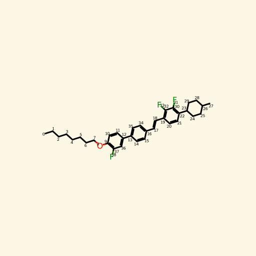 CCCCCCCCOc1ccc(-c2ccc(/C=C/c3ccc(C4CCC(C)CC4)c(F)c3F)cc2)cc1F